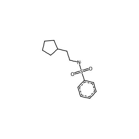 O=S(=O)([N]CCC1CCCC1)c1ccccc1